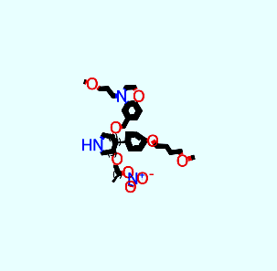 COCCCCOc1ccc([C@@H]2[C@@H](OCc3ccc4c(c3)N(CCCOC)CCO4)CNC[C@H]2OC[C@H](C)O[N+](=O)[O-])cc1